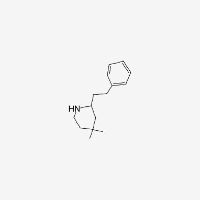 CC1(C)CCNC(CCc2ccccc2)C1